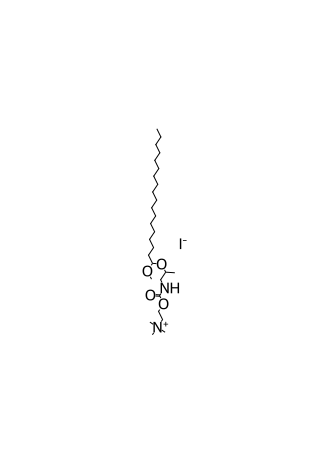 CCCCCCCCCCCCCCCCCC(OC)OC(C)CNC(=O)OCC[N+](C)(C)C.[I-]